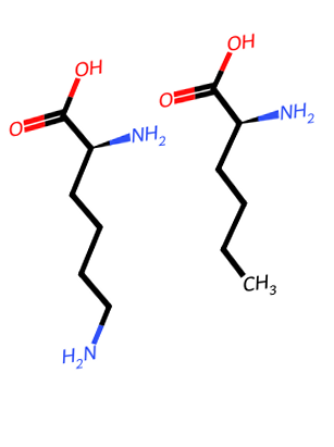 CCCC[C@H](N)C(=O)O.NCCCC[C@H](N)C(=O)O